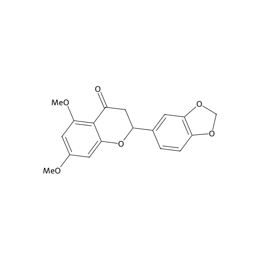 COc1cc(OC)c2c(c1)OC(c1ccc3c(c1)OCO3)CC2=O